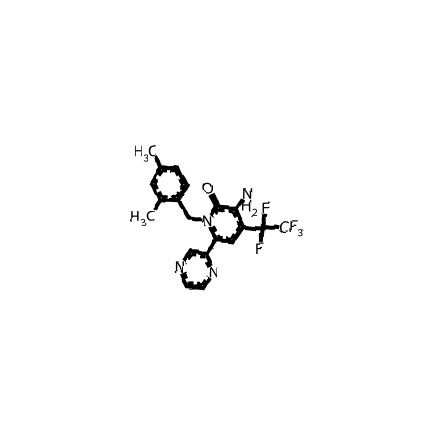 Cc1ccc(Cn2c(-c3cnccn3)cc(C(F)(F)C(F)(F)F)c(N)c2=O)c(C)c1